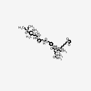 CCCN(CCC)C(=O)C1=CC(C)=C(/C=C(\C)C(=O)Nc2cncc(CNC(=O)OCc3ccc(NC(=O)[C@H](CCCNC(N)=O)NC(=O)[C@@H](NC(=O)CCCCCN4C(=O)C=CC4=O)C(C)C)cc3)c2)N=C(N)C1